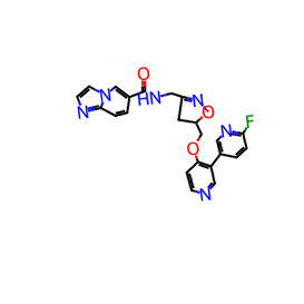 O=C(NCC1=NOC(COc2ccncc2-c2ccc(F)nc2)C1)c1ccc2nccn2c1